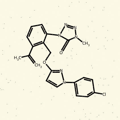 C=C(C)c1cccc(-n2nnn(C)c2=O)c1COc1ccn(-c2ccc(Cl)cc2)n1